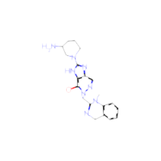 CN1C(Cn2ncc3nc(N4CCCC(N)C4)[nH]c3c2=O)=NCc2ccccc21